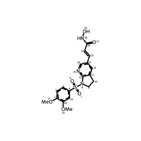 COc1ccc(S(=O)(=O)N2CCc3cc(/C=C/C(=O)NO)cnc32)cc1OC